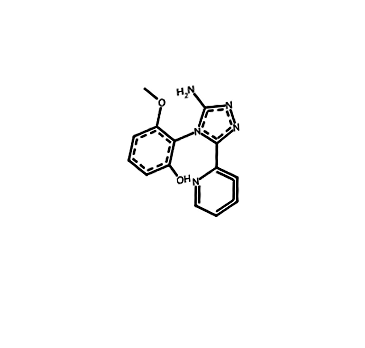 COc1cccc(O)c1-n1c(N)nnc1C1=C=C=CC=N1